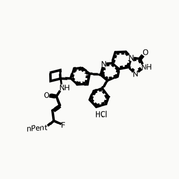 CCCCCC(F)C=CC(=O)NC1(c2ccc(-c3nc4ccn5c(=O)[nH]nc5c4cc3-c3ccccc3)cc2)CCC1.Cl